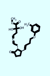 COC(=O)C(O)(O)CC=C=CC[C@H]1C(=O)CC[C@@H]1/C=C/CCOc1cccc(C)c1